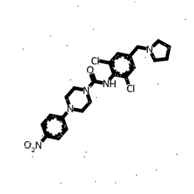 O=C(Nc1c(Cl)cc(CN2CCCC2)cc1Cl)N1CCN(c2ccc([N+](=O)[O-])cc2)CC1